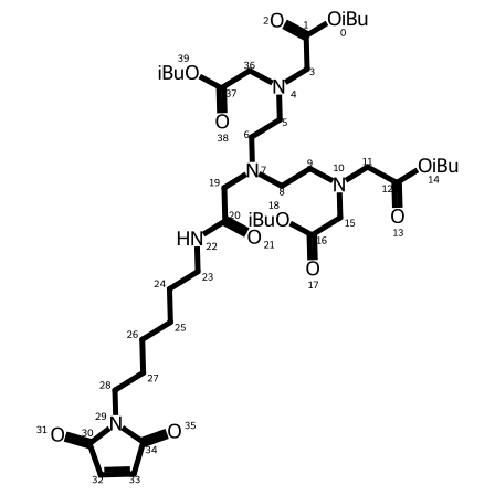 CC(C)COC(=O)CN(CCN(CCN(CC(=O)OCC(C)C)CC(=O)OCC(C)C)CC(=O)NCCCCCCN1C(=O)C=CC1=O)CC(=O)OCC(C)C